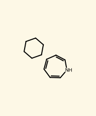 C1=CC=CNC=C1.C1CCCCC1